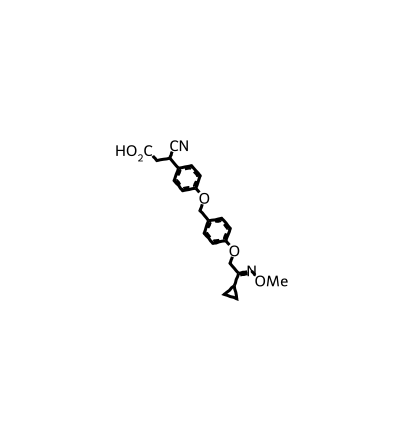 CON=C(COc1ccc(COc2ccc(C(C#N)CC(=O)O)cc2)cc1)C1CC1